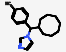 N#Cc1ccc(C(C2CCCCCCC2)n2ccnc2)cc1